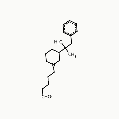 CC(C)(Cc1ccccc1)C1CCCN(CCCC[C]=O)C1